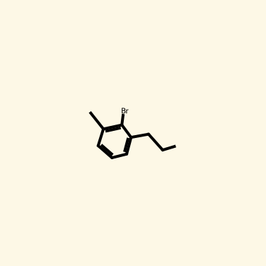 CCCc1cccc(C)c1Br